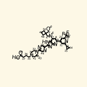 COCC1(CN(C)c2cc(-c3cc(C4CC4)nc(C(F)(F)F)c3)nc3nc(-c4cnc(N5CCN(CCCC(=O)O)C[C@H]5C)cn4)[nH]c23)CCC1